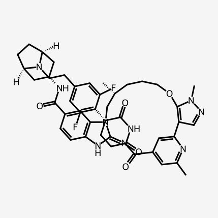 Cc1cc2cc(n1)-c1cnn(C)c1OCCC[C@@H](C)CN1/C(=N/C2=O)Nc2ccc(C(=O)N[C@@H]3C[C@H]4CC[C@@H](C3)N4CCc3cc(F)c([C@H]4CCC(=O)NC4=O)c(F)c3)cc21